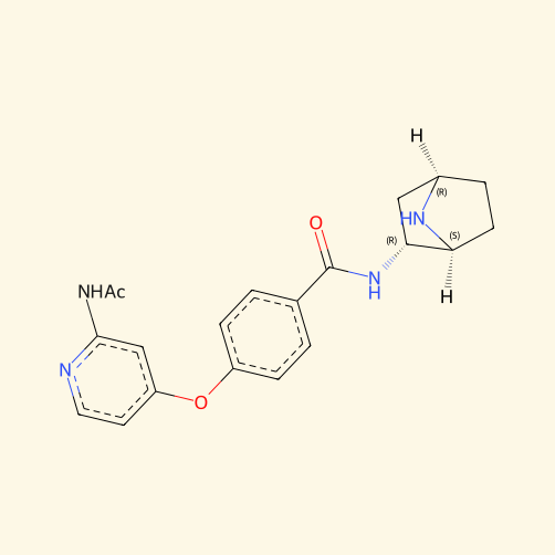 CC(=O)Nc1cc(Oc2ccc(C(=O)N[C@@H]3C[C@H]4CC[C@@H]3N4)cc2)ccn1